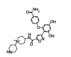 C[N+]1(C2CCNCC2)CCC(NC(=O)c2cc(-c3c(O)cc(O)cc3Oc3ccc(C(N)=O)cc3)no2)CC1